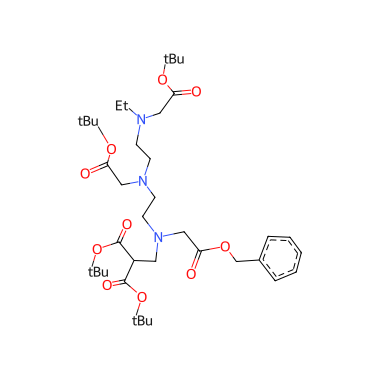 CCN(CCN(CCN(CC(=O)OCc1ccccc1)CC(C(=O)OC(C)(C)C)C(=O)OC(C)(C)C)CC(=O)OC(C)(C)C)CC(=O)OC(C)(C)C